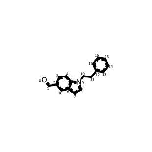 O=Cc1ccc2c(ccn2CCc2ccccc2)c1